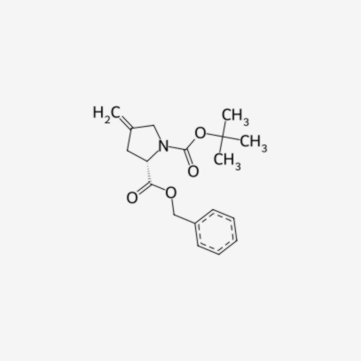 C=C1C[C@@H](C(=O)OCc2ccccc2)N(C(=O)OC(C)(C)C)C1